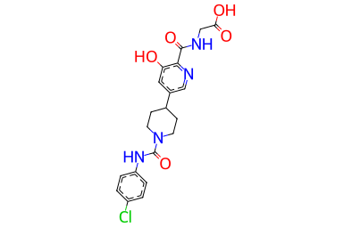 O=C(O)CNC(=O)c1ncc(C2CCN(C(=O)Nc3ccc(Cl)cc3)CC2)cc1O